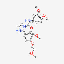 COCCOc1ccc(C2NC=CN2C(=O)Nc2ccc(OC)c(OC)c2)cc1OC